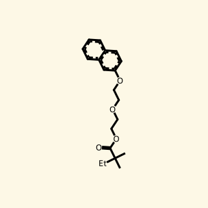 CCC(C)(C)C(=O)OCCOCCOc1ccc2ccccc2c1